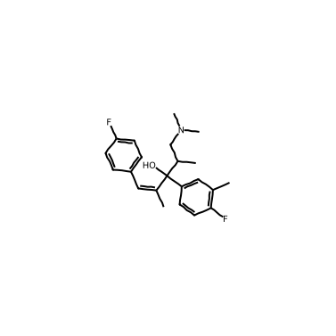 CC(=Cc1ccc(F)cc1)C(O)(c1ccc(F)c(C)c1)C(C)CN(C)C